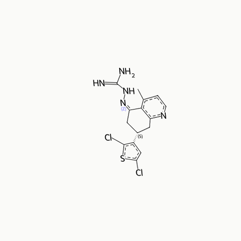 Cc1ccnc2c1/C(=N\NC(=N)N)C[C@@H](c1cc(Cl)sc1Cl)C2